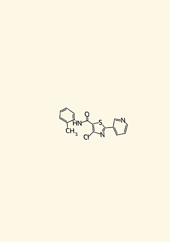 Cc1ccccc1NC(=O)c1sc(-c2cccnc2)nc1Cl